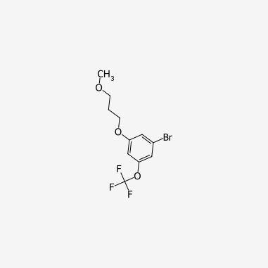 COCCCOc1cc(Br)cc(OC(F)(F)F)c1